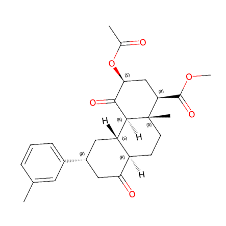 COC(=O)[C@@H]1C[C@H](OC(C)=O)C(=O)[C@@H]2[C@H]3C[C@@H](c4cccc(C)c4)CC(=O)[C@@H]3CC[C@]21C